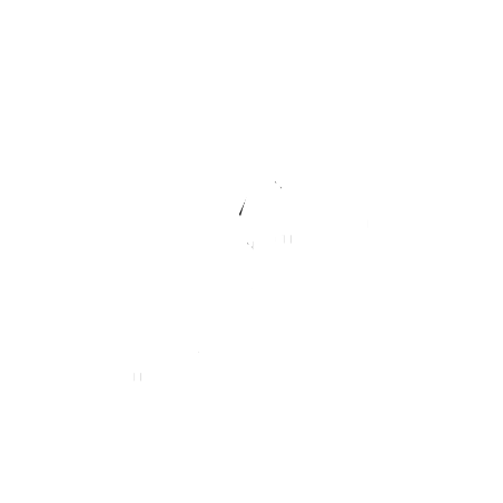 COC(=O)c1ccc(N(C)C[C@@H](c2ccccc2)N2CC[C@H](O)C2)cc1